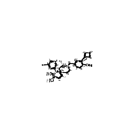 Cc1cncc(N2[C@@]3(CCN(Cc4ccc(O)c(C5CCC5)c4)[C@@H](C)C3)CCS2(O)O)n1